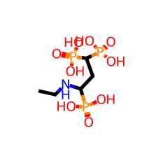 CCNC(CC(P(=O)(O)O)P(=O)(O)O)P(=O)(O)O